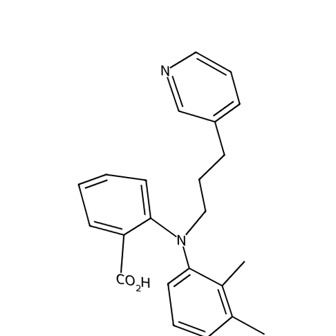 Cc1cccc(N(CCCc2cccnc2)c2ccccc2C(=O)O)c1C